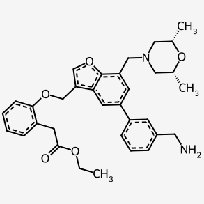 CCOC(=O)Cc1ccccc1OCc1coc2c(CN3C[C@@H](C)O[C@@H](C)C3)cc(-c3cccc(CN)c3)cc12